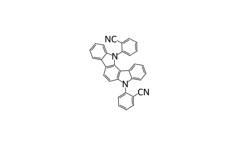 N#Cc1ccccc1-n1c2ccccc2c2c1ccc1c3ccccc3n(-c3ccccc3C#N)c12